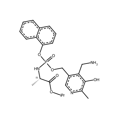 Cc1ncc(COP(=O)(N[C@@H](C)C(=O)OC(C)C)Oc2cccc3ccccc23)c(CN)c1O